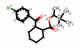 CC(OC(=O)C1CCCCC1C(=O)c1ccc(Br)cc1)[Si](C)(C)C